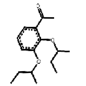 CCC(C)Oc1cccc(C(C)=O)c1OC(C)CC